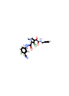 C#CCNC(=O)C(=O)c1cn(C)c(C(=O)Nc2ccc(F)c(C#N)c2)c1Cl